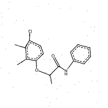 Cc1c(Cl)ccc(OC(C)C(=O)Nc2ccccc2)c1C